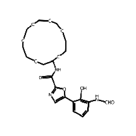 O=CNc1cccc(-c2cnc(C(=O)NC3CCCCCCCCCCCCCC3)o2)c1O